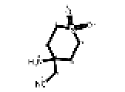 N#CCC1(N)CCS(=O)(=O)CC1